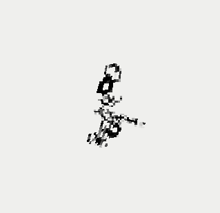 COc1ccc2ncc(=O)n(C[C@@H](CNC[C@@H]3CN(c4ccc5c(c4)OCCO5)C(=O)O3)O[Si](C)(C)C(C)(C)C)c2n1